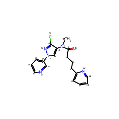 CN(C(=O)CCCc1ccccn1)c1cn(-c2cccnc2)nc1Cl